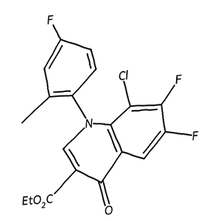 CCOC(=O)c1cn(-c2ccc(F)cc2C)c2c(Cl)c(F)c(F)cc2c1=O